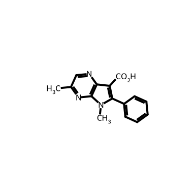 Cc1cnc2c(C(=O)O)c(-c3ccccc3)n(C)c2n1